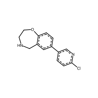 Clc1ccc(-c2ccc3c(c2)CNCCO3)cn1